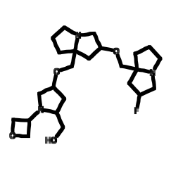 OCC1CC(OCC23CCCN2CC(OCC24CCCN2CC(F)C4)C3)CN1C1COC1